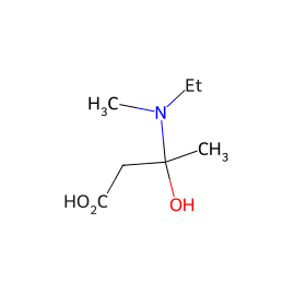 CCN(C)C(C)(O)CC(=O)O